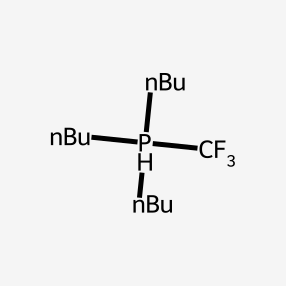 CCCC[PH](CCCC)(CCCC)C(F)(F)F